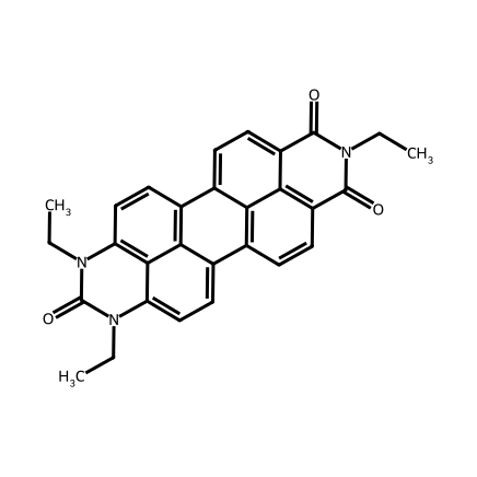 CCn1c(=O)c2ccc3c4ccc5c6c4c(ccc6n(CC)c(=O)n5CC)c4ccc(c1=O)c2c34